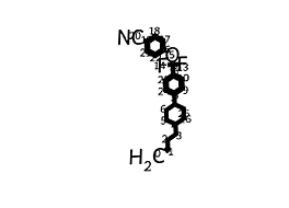 C=CCCC1CCC(c2ccc(C(F)(F)Oc3ccc(C#N)cc3)cc2)CC1